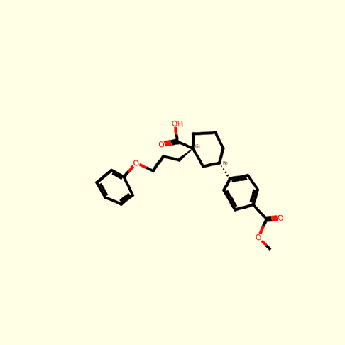 COC(=O)c1ccc([C@H]2CCC[C@@](CCCOc3ccccc3)(C(=O)O)C2)cc1